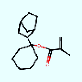 C=C(C)C(=O)OC1(C2CC3CCC2C3)CCCCC1